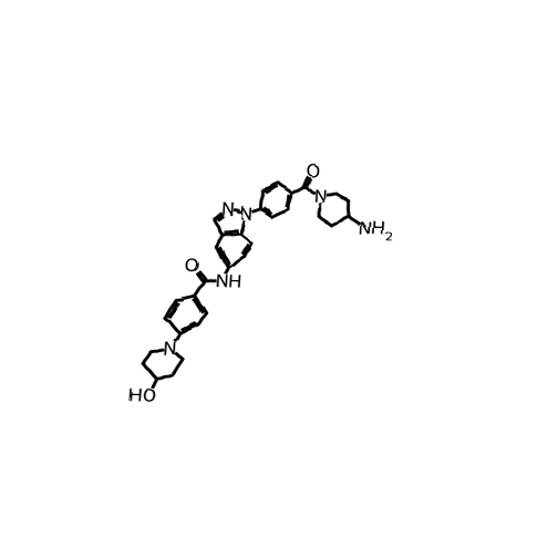 NC1CCN(C(=O)c2ccc(-n3ncc4cc(NC(=O)c5ccc(N6CCC(O)CC6)cc5)ccc43)cc2)CC1